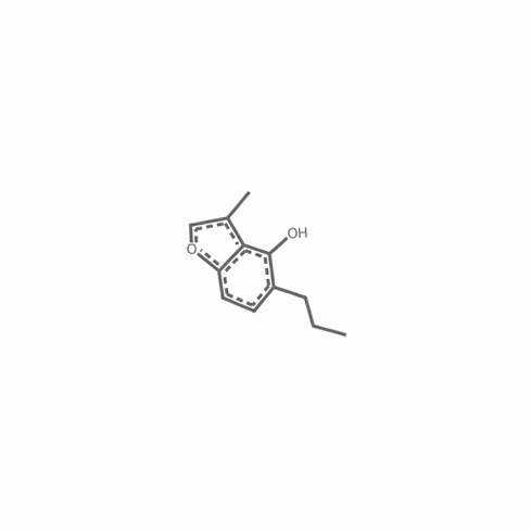 CCCc1ccc2occ(C)c2c1O